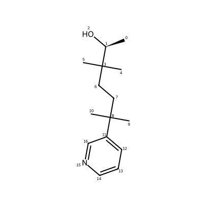 C[C@H](O)C(C)(C)CCC(C)(C)c1cccnc1